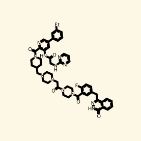 CCc1cccc(-c2cnc(C(=O)N3CCC(CN4CCN(CC(=O)N5CCN(C(=O)c6cc(Cc7n[nH]c(=O)c8ccccc78)ccc6F)CC5)CC4)CC3)c(NC(=O)CNc3ncccn3)c2)c1